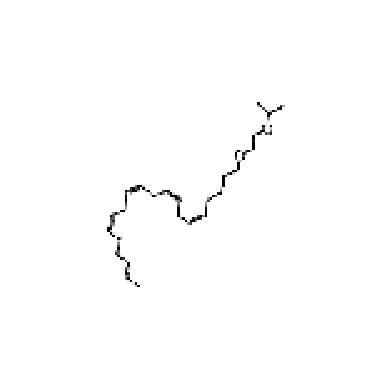 CCCCC/C=C\C/C=C\C/C=C\C/C=C\CCCCOCCOC(C)C